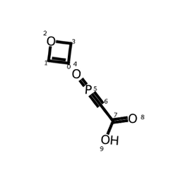 C1=COC1.O=P#CC(=O)O